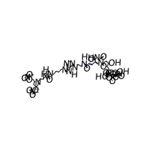 O=C(/C=C/c1cn(C2CC(O)C(COP(=O)(O)OP(=O)(O)OP(=O)(O)O)O2)c(=O)[nH]c1=O)NCCNc1ncnc2c1ncn2CCCCNC(=O)NCCN1CC(O[N+](=O)[O-])CC1CO[N+](=O)[O-]